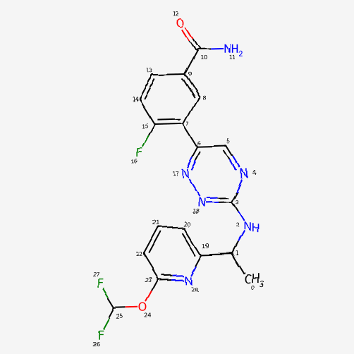 CC(Nc1ncc(-c2cc(C(N)=O)ccc2F)nn1)c1cccc(OC(F)F)n1